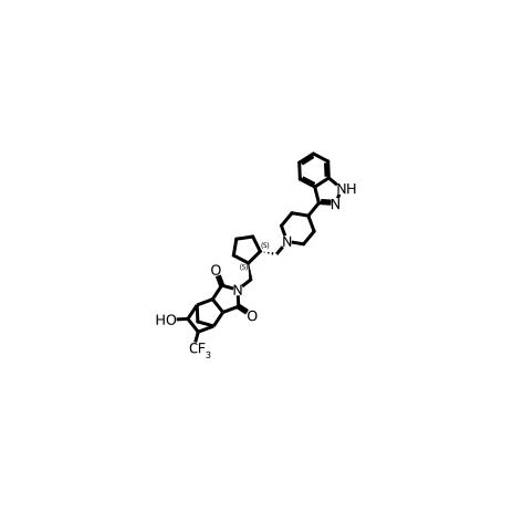 O=C1C2C3CC(C2C(=O)N1C[C@H]1CCC[C@@H]1CN1CCC(c2n[nH]c4ccccc24)CC1)C(C(F)(F)F)C3O